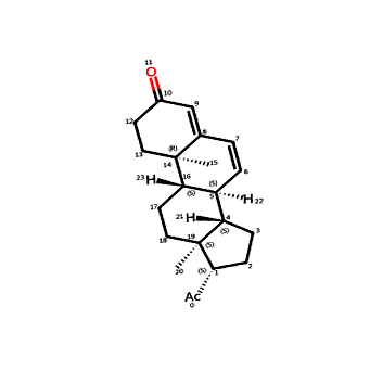 CC(=O)[C@H]1CC[C@H]2[C@@H]3C=CC4=CC(=O)CC[C@]4(C)[C@H]3CC[C@]12C